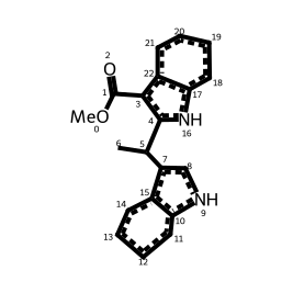 COC(=O)c1c(C(C)c2c[nH]c3ccccc23)[nH]c2ccccc12